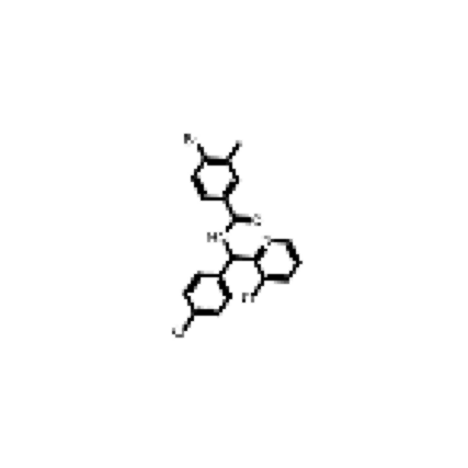 Cc1cc(C(=O)NC(c2ccc(Cl)cc2)c2ncccc2Cl)ccc1Br